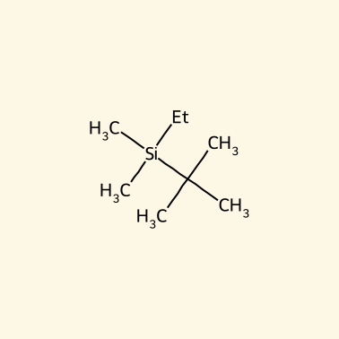 CC[Si](C)(C)C(C)(C)C